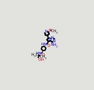 COc1cc(-c2cc(C(=O)N[C@H]3CC[C@H](C(=O)NC(C)(C)CO)CC3)c3c(N)ncnn23)ccn1